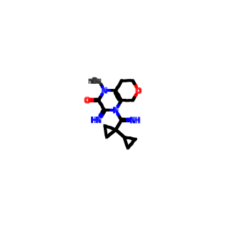 CCCCn1c2c(n(C(=N)C3(C4CC4)CC3)c(=N)c1=O)COCC2